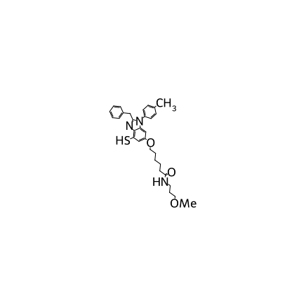 COCCCNC(=O)CCCCCOc1cc(S)c2nc(Cc3ccccc3)n(-c3ccc(C)cc3)c2c1